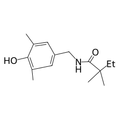 CCC(C)(C)C(=O)NCc1cc(C)c(O)c(C)c1